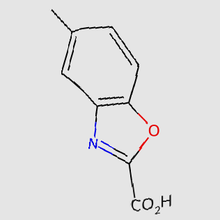 Cc1ccc2oc(C(=O)O)nc2c1